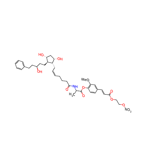 COc1cc(/C=C/C(=O)OCCO[N+](=O)[O-])ccc1OC(=O)C(C)NC(=O)CCC/C=C\C[C@@H]1[C@@H](CC[C@@H](O)CCc2ccccc2)[C@H](O)C[C@@H]1O